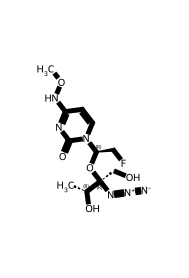 CONc1ccn([C@@H](CF)O[C@@](CO)(N=[N+]=[N-])[C@@H](C)O)c(=O)n1